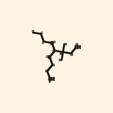 CCCOC(OCCO)C(C)(C)CO